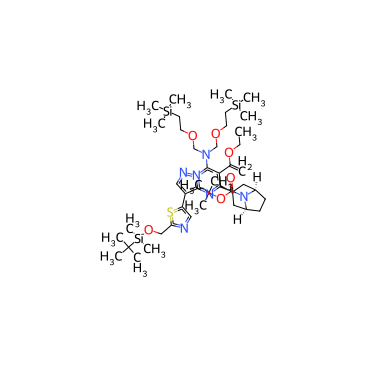 C=C(OCC)c1c([C@H]2C[C@H]3CC[C@@H](C2)N3C(=O)OC(C)(C)C)nc2c(-c3cnc(CO[Si](C)(C)C(C)(C)C)s3)cnn2c1N(COCC[Si](C)(C)C)COCC[Si](C)(C)C